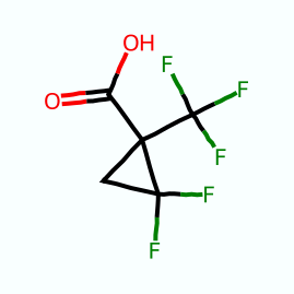 O=C(O)C1(C(F)(F)F)CC1(F)F